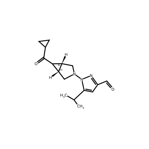 CC(C)c1cc(C=O)nn1N1C[C@@H]2C(C(=O)C3CC3)[C@@H]2C1